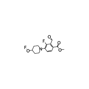 COC(=O)c1ccc(N2CCC(OF)CC2)c(F)c1C=O